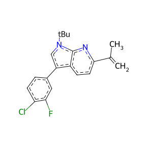 C=C(C)c1ccc2c(-c3ccc(Cl)c(F)c3)cn(C(C)(C)C)c2n1